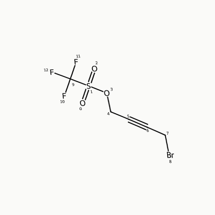 O=S(=O)(OCC#CCBr)C(F)(F)F